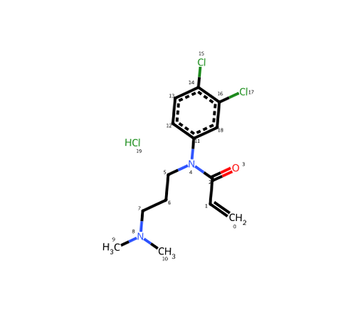 C=CC(=O)N(CCCN(C)C)c1ccc(Cl)c(Cl)c1.Cl